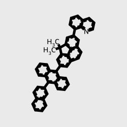 CC1(C)c2cc(-c3c4ccccc4c(-c4ccc5ccccc5c4)c4ccccc34)cc3ccc4cc(-c5cccc6cccnc56)cc1c4c23